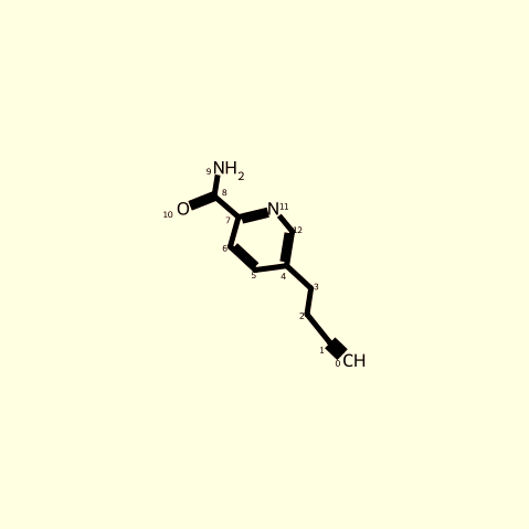 C#CCCc1ccc(C(N)=O)nc1